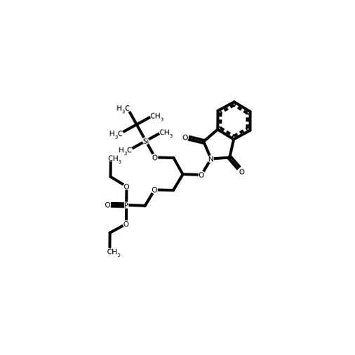 CCOP(=O)(COCC(CO[Si](C)(C)C(C)(C)C)ON1C(=O)c2ccccc2C1=O)OCC